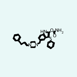 NC(=O)Oc1[nH]c2ccc(CN3CCN(C=CCc4ccccc4)CC3)cc2c1Sc1ccccc1